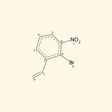 C=[C]c1cccc([N+](=O)[O-])c1Br